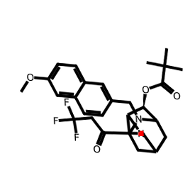 COc1ccc2cc(CN3C4CC5CC3[C@H](OC(=O)C(C)(C)C)C4N(C(=O)CC(F)(F)F)C5)ccc2c1